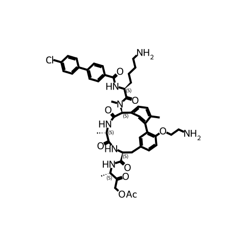 CC(=O)OCC(=O)[C@H](C)NC(=O)[C@@H]1Cc2ccc(OCCN)c(c2)-c2cc(ccc2C)[C@H](N(C)C(=O)[C@H](CCCCN)NC(=O)c2ccc(-c3ccc(Cl)cc3)cc2)C(=O)N[C@@H](C)C(=O)N1